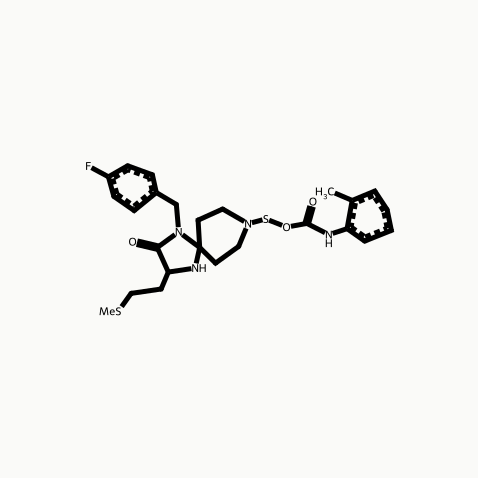 CSCCC1NC2(CCN(SOC(=O)Nc3ccccc3C)CC2)N(Cc2ccc(F)cc2)C1=O